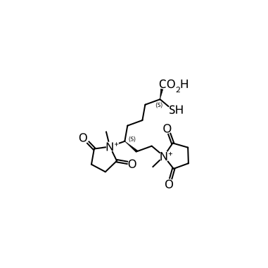 C[N+]1(CC[C@H](CCC[C@H](S)C(=O)O)[N+]2(C)C(=O)CCC2=O)C(=O)CCC1=O